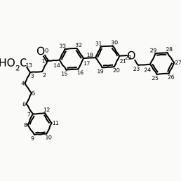 O=C(CC(CCCc1ccccc1)C(=O)O)c1ccc(-c2ccc(OCc3ccccc3)cc2)cc1